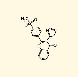 CS(=O)(=O)c1ccc(-c2oc3ccccc3c(=O)c2-c2nccs2)cc1